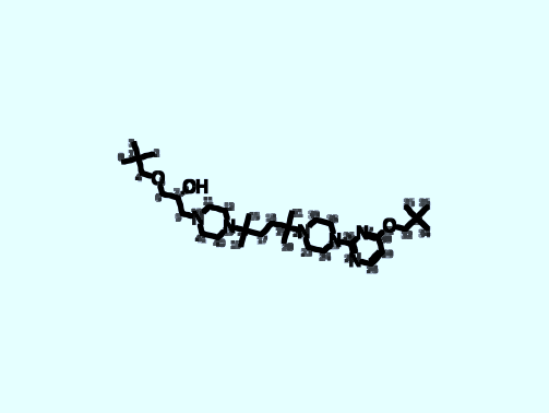 CC(C)(C)COC[C@H](O)CN1CCN(C(C)(C)CCC(C)(C)N2CCN(c3nccc(OCC(C)(C)C)n3)CC2)CC1